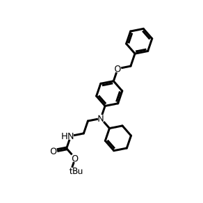 CC(C)(C)OC(=O)NCCN(c1ccc(OCc2ccccc2)cc1)C1C=CCCC1